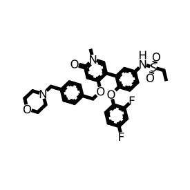 CCS(=O)(=O)Nc1ccc(Oc2ccc(F)cc2F)c(-c2cn(C)c(=O)cc2OCc2ccc(CN3CCOCC3)cc2)c1